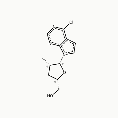 C[C@H]1C[C@@H](CO)O[C@H]1n1ccc2c(Cl)ncnc21